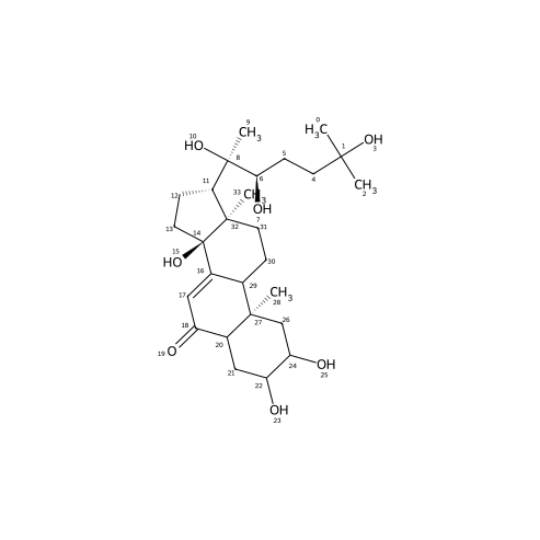 CC(C)(O)CC[C@@H](O)[C@](C)(O)[C@H]1CC[C@@]2(O)C3=CC(=O)C4CC(O)C(O)C[C@]4(C)C3CC[C@]12C